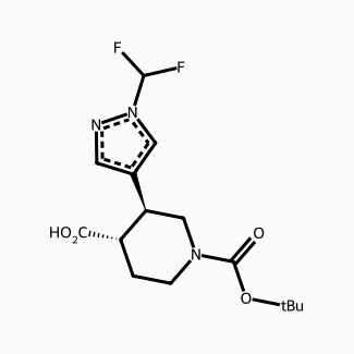 CC(C)(C)OC(=O)N1CC[C@H](C(=O)O)[C@@H](c2cnn(C(F)F)c2)C1